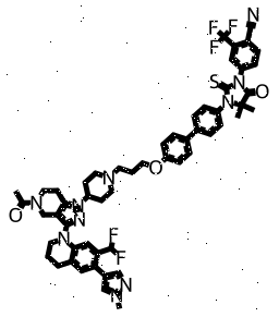 CC(=O)N1CCc2c(c(N3CCCc4cc(-c5cnn(C)c5)c(C(F)F)cc43)nn2C2CCN(CCCOc3ccc(-c4ccc(N5C(=S)N(c6ccc(C#N)c(C(F)(F)F)c6)C(=O)C5(C)C)cc4)cc3)CC2)C1